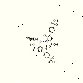 O=C(O)C1=NN(c2ccc(S(=O)(=O)O)cc2)C(=O)/C1=C\C=C/c1c(C(=O)O)nn(-c2ccc(S(=O)(=O)O)cc2)c1O.[NaH].[NaH].[NaH].[NaH]